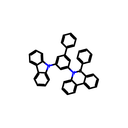 c1ccc(B2c3ccccc3-c3ccccc3N2c2cc(-c3ccccc3)cc(-n3c4ccccc4c4ccccc43)c2)cc1